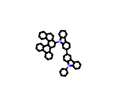 c1ccc(-n2c3ccccc3c3cc(-c4ccc5c6ccccc6n(-c6cc7c8ccccc8c8ccccc8c7c7c6ccc6ccccc67)c5c4)ccc32)cc1